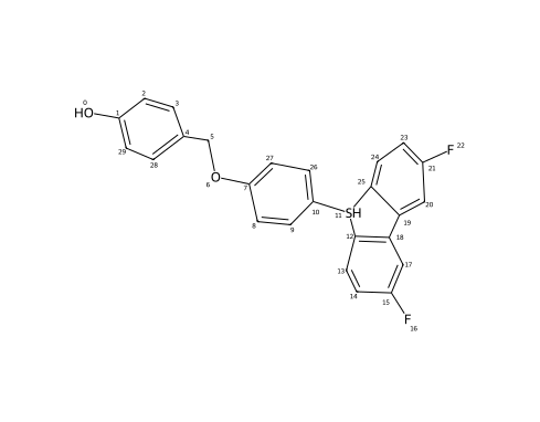 Oc1ccc(COc2ccc([SH]3c4ccc(F)cc4-c4cc(F)ccc43)cc2)cc1